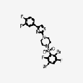 O=S(=O)(c1c(F)c(Br)cc(F)c1Br)N1CCN(c2nc(-c3ccc(F)c(F)c3)cs2)CC1